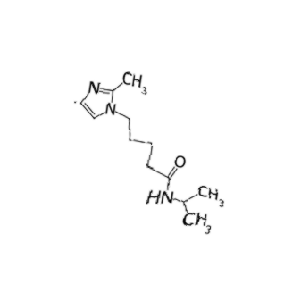 Cc1n[c]cn1CCCCC(=O)NC(C)C